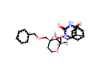 Cc1cn([C@@H]2O[C@@]3(COCc4ccccc4)CCO[C@@H]2[C@@H]3OCc2ccccc2)c(=O)[nH]c1=O